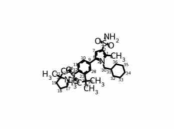 Cc1c(S(N)(=O)=O)cc(-c2ccc(S(=O)(=O)N3CCCC3(C)C)c(C(C)(C)C)c2)n1CC1CCCCC1